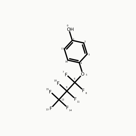 Oc1ccc(OC(F)(F)C(F)(F)C(F)(F)F)cc1